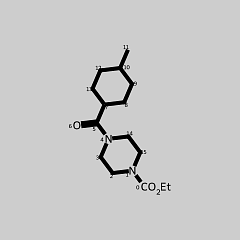 CCOC(=O)N1CCN(C(=O)C2CCC(C)CC2)CC1